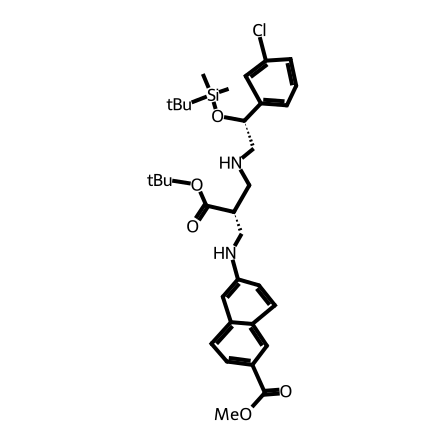 COC(=O)c1ccc2cc(NC[C@@H](CNC[C@H](O[Si](C)(C)C(C)(C)C)c3cccc(Cl)c3)C(=O)OC(C)(C)C)ccc2c1